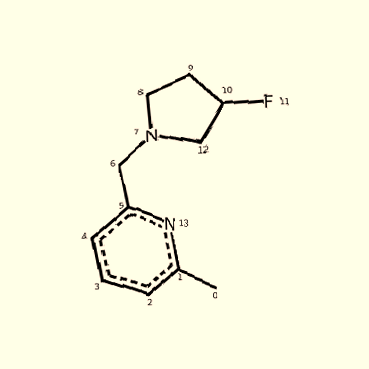 Cc1cccc(CN2CCC(F)C2)n1